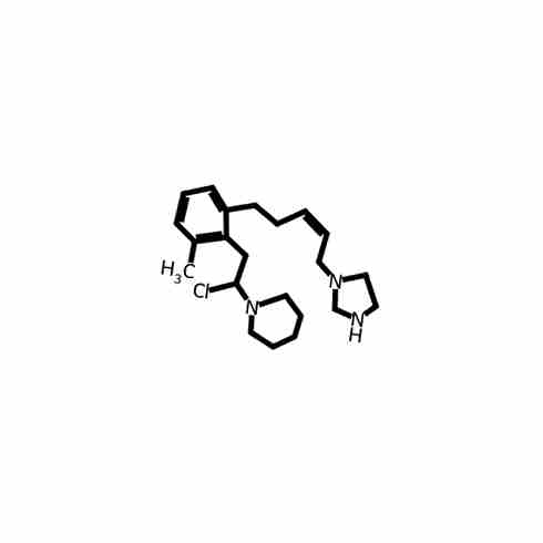 Cc1cccc(CC/C=C\CN2CCNC2)c1CC(Cl)N1CCCCC1